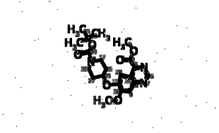 COC(=O)c1ncnc2cc(OC)c(OC3CCN(C(=O)OC(C)(C)C)CC3)cc12